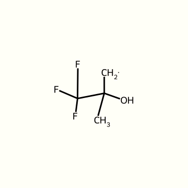 [CH2]C(C)(O)C(F)(F)F